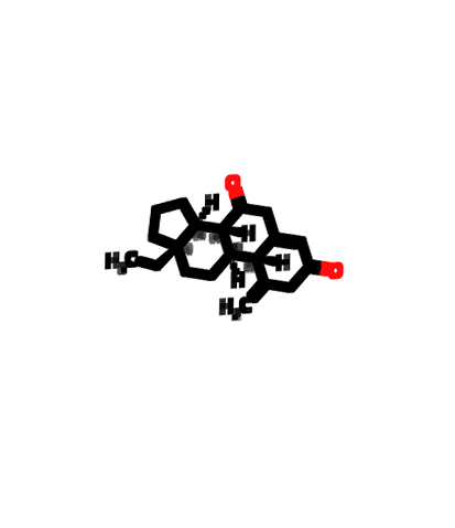 C=C1CC(=O)C=C2CC(=O)[C@@H]3[C@H](CC[C@]4(CC)CCC[C@@H]34)[C@@H]12